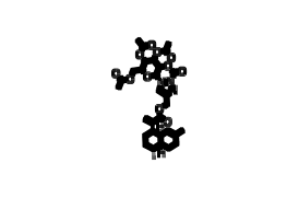 C=C(C(=O)OCc1cn(C2OC(COC(C)=O)C(OC(C)=O)C(OC(C)=O)C2OC(C)=O)nn1)[C@@H]1CC[C@@H](C)[C@@H]2CCC(C)=C[C@@H]21